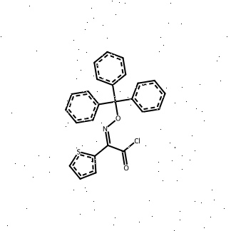 O=C(Cl)C(=NOC(c1ccccc1)(c1ccccc1)c1ccccc1)c1cccs1